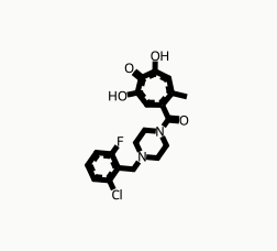 Cc1cc(O)c(=O)c(O)cc1C(=O)N1CCN(Cc2c(F)cccc2Cl)CC1